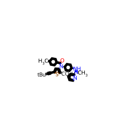 CC1CCC(C(=O)N(c2cc(C#CC(C)(C)C)sc2C(=O)O)[C@H]2CC[C@H](NN(C)c3ccccn3)CC2)CC1